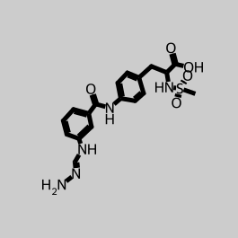 CS(=O)(=O)NC(Cc1ccc(NC(=O)c2cccc(NC=NN)c2)cc1)C(=O)O